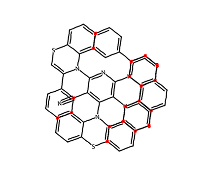 N#Cc1c(N2C(c3ccccc3)=CSc3ccccc32)nc(N2C(c3ccccc3)=CSc3ccccc32)c(N2C(c3ccccc3)=CSc3ccccc32)c1N1C(c2ccccc2)=CSc2ccccc21